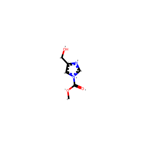 COC(=O)n1cnc(CO)c1